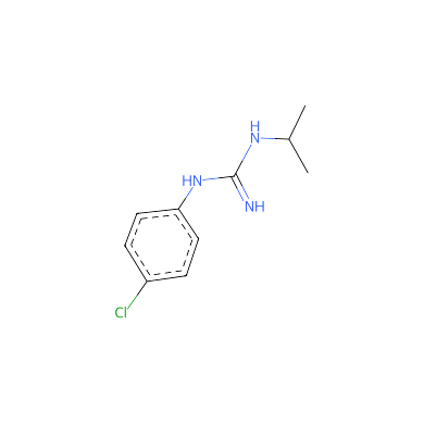 CC(C)NC(=N)Nc1ccc(Cl)cc1